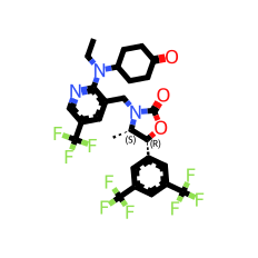 CCN(c1ncc(C(F)(F)F)cc1CN1C(=O)O[C@H](c2cc(C(F)(F)F)cc(C(F)(F)F)c2)[C@@H]1C)C1CCC(=O)CC1